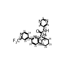 O=C(Nc1cncnc1)N1c2nc(-c3ccnc(C(F)(F)F)c3)ccc2N2CCC[C@H]1C2